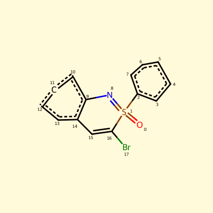 O=S1(c2ccccc2)=Nc2ccccc2C=C1Br